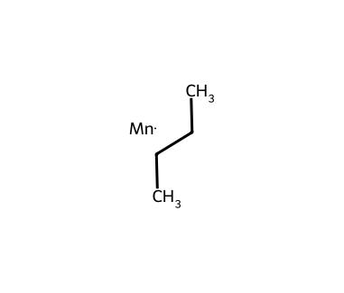 CCCC.[Mn]